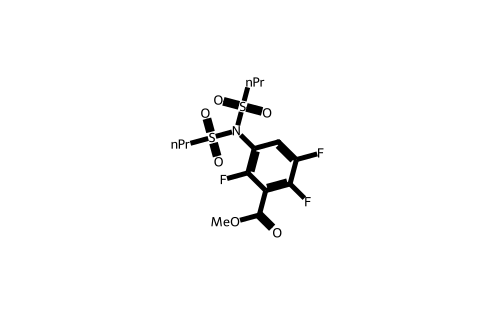 CCCS(=O)(=O)N(c1cc(F)c(F)c(C(=O)OC)c1F)S(=O)(=O)CCC